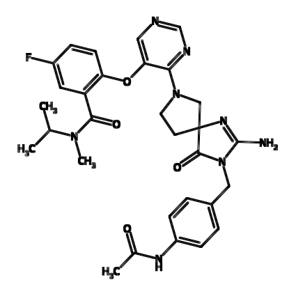 CC(=O)Nc1ccc(CN2C(=O)C3(CCN(c4ncncc4Oc4ccc(F)cc4C(=O)N(C)C(C)C)C3)N=C2N)cc1